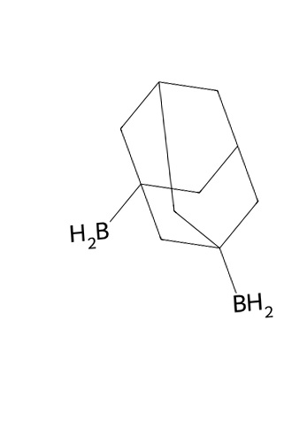 BC12CC3CC(C1)CC(B)(C3)C2